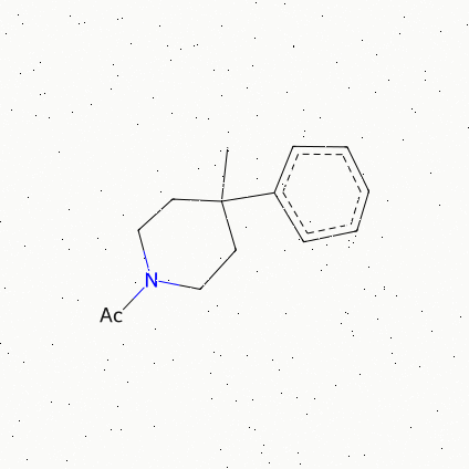 CC(=O)N1CCC(C)(c2ccccc2)CC1